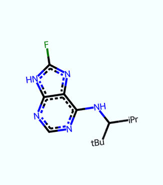 CC(C)C(Nc1ncnc2[nH]c(F)nc12)C(C)(C)C